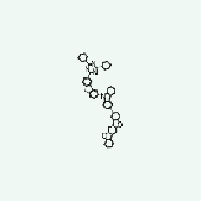 c1ccc(-c2nc(-c3ccccc3)nc(-c3ccc4c(c3)-c3cc(-n5c6ccccc6c6cc(-c7ccc8oc9cc%10c(cc9c8c7)oc7ccccc7%10)ccc65)ccc3C4)n2)cc1